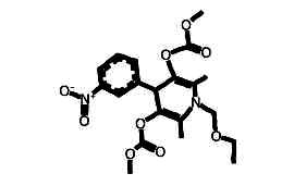 CCOCN1C(C)=C(OC(=O)OC)C(c2cccc([N+](=O)[O-])c2)C(OC(=O)OC)=C1C